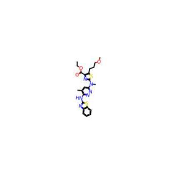 CCOC(=O)c1nc(N(C)c2cc(C)c(Nc3nc4ccccc4s3)nn2)sc1CCCOC